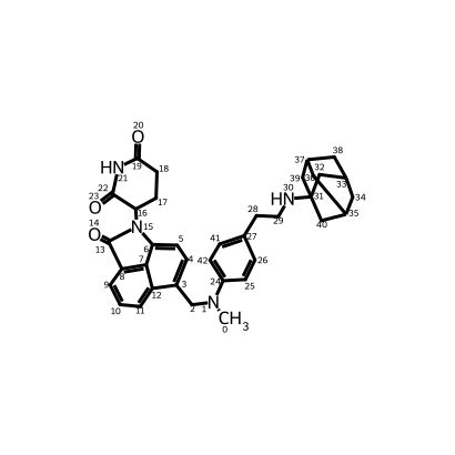 CN(Cc1ccc2c3c(cccc13)C(=O)N2C1CCC(=O)NC1=O)c1ccc(CCNC23CC4CC(CC(C4)C2)C3)cc1